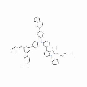 C=C/C=C\Cc1c(C)c2c(-c3cccc(N(c4ccc(-c5cc(/C=C/C=C\C)cc(C(/C=C\C=C)=C/C)c5)cc4)c4ccc(-c5ccc6ccccc6c5)cc4)c3)cccc2n1-c1ccccc1